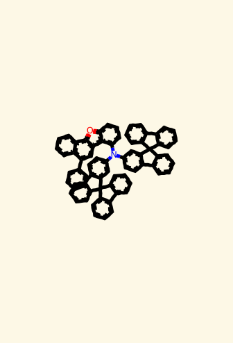 c1ccc(-c2cc3c(oc4cccc(N(c5ccc6c(c5)C5(c7ccccc7-c7ccccc75)c5ccccc5-6)c5ccc6c(c5)C5(c7ccccc7-c7ccccc75)c5ccccc5-6)c43)c3ccccc23)cc1